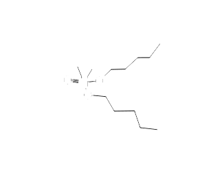 CCCCC[O][Ti]([CH3])([CH3])(=[O])[O]CCCCC